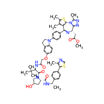 COC(=O)C[C@@H]1N=C(c2ccc(N3CCc4cc(OCC(=O)N[C@H](C(=O)N5C[C@H](O)C[C@H]5C(=O)N[C@@H](C)c5ccc(-c6scnc6C)cc5)C(C)(C)C)ccc43)cc2)c2c(sc(C)c2C)-n2c(C)nnc21